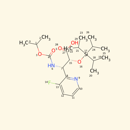 CC(C)OC(=O)N[C@@H](c1ncccc1F)[C@@H](O[Si](C(C)C)(C(C)C)C(C)C)C(=O)O